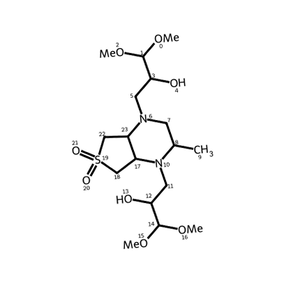 COC(OC)C(O)CN1CC(C)N(CC(O)C(OC)OC)C2CS(=O)(=O)CC21